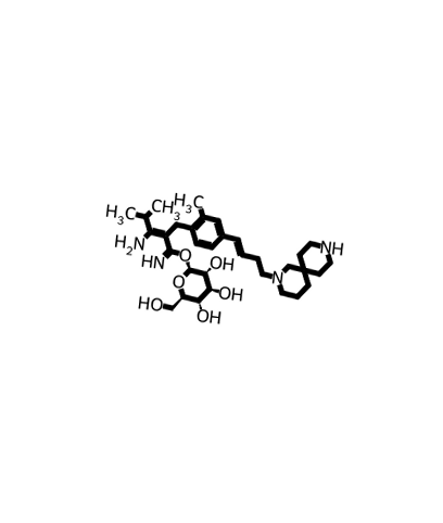 Cc1cc(/C=C/CCN2CCCC3(CCNCC3)C2)ccc1C/C(C(=N)O[C@@H]1O[C@H](CO)[C@@H](O)[C@H](O)[C@H]1O)=C(/N)C(C)C